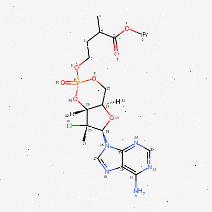 CC(C)OC(=O)C(C)CCOP1(=O)OC[C@H]2O[C@@H](n3cnc4c(N)ncnc43)[C@](C)(Cl)[C@@H]2O1